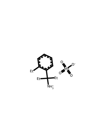 CCc1ccccc1C([NH3+])(CC)CC.[O]=[Mn](=[O])(=[O])[O-]